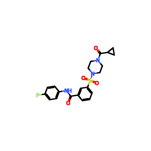 O=C(Nc1ccc(F)cc1)c1cccc(S(=O)(=O)N2CCN(C(=O)C3CC3)CC2)c1